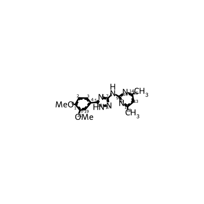 COc1ccc(-c2nc(Nc3nc(C)cc(C)n3)n[nH]2)cc1OC